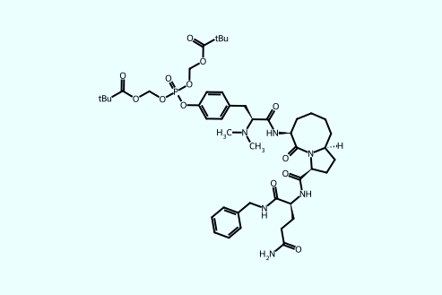 CN(C)[C@@H](Cc1ccc(OP(=O)(OCOC(=O)C(C)(C)C)OCOC(=O)C(C)(C)C)cc1)C(=O)N[C@H]1CCCC[C@H]2CC[C@@H](C(=O)N[C@@H](CCC(N)=O)C(=O)NCc3ccccc3)N2C1=O